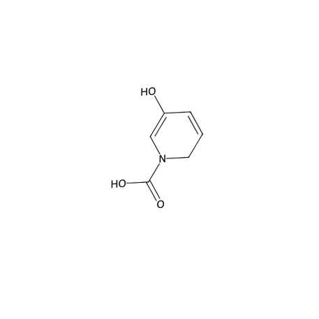 O=C(O)N1C=C(O)C=CC1